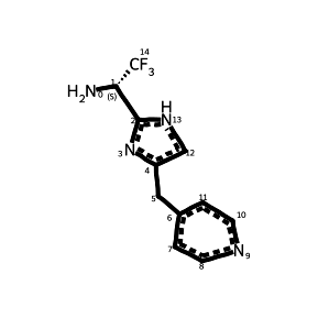 N[C@@H](c1nc(Cc2ccncc2)c[nH]1)C(F)(F)F